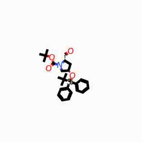 CC(C)(C)OC(=O)N1C[C@H](O[Si](c2ccccc2)(c2ccccc2)C(C)(C)C)C[C@H]1C=O